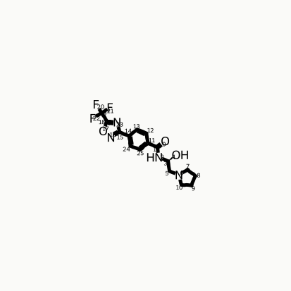 O=C(N[C@H](O)CN1CCCC1)c1ccc(-c2noc(C(F)(F)F)n2)cc1